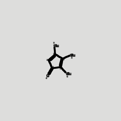 CC(C)(C)C1=CC(=O)C(C(C)(C)C)=C1C(C)(C)C